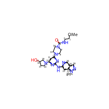 COCCNC(=O)N1CCN(c2cc(N3CCC(O)C3)nc(Nc3cc4c(cn3)cnn4C(C)C)n2)CC1